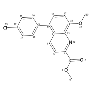 COC(=O)c1ccc2c(-c3ccc(Cl)cc3)ccc(OC)c2n1